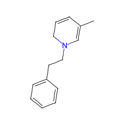 CC1=CN(CCc2ccccc2)CC=C1